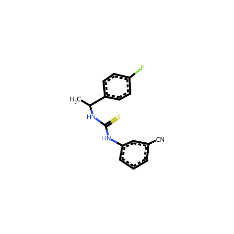 CC(NC(=S)Nc1cc[c]c(C#N)c1)c1ccc(F)cc1